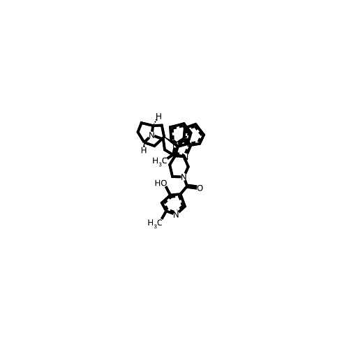 Cc1cc(O)c(C(=O)N2CCC(CCN3[C@@H]4CC[C@H]3C[C@@H](n3c(C)nc5ccccc53)C4)(c3ccccc3)CC2)cn1